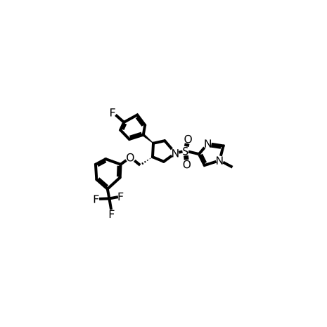 Cn1cnc(S(=O)(=O)N2C[C@H](COc3cccc(C(F)(F)F)c3)[C@@H](c3ccc(F)cc3)C2)c1